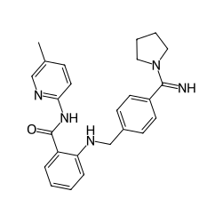 Cc1ccc(NC(=O)c2ccccc2NCc2ccc(C(=N)N3CCCC3)cc2)nc1